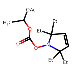 CCC1(CC)C=CC(CC)(CC)N1OC(=O)OC(C)OC(C)=O